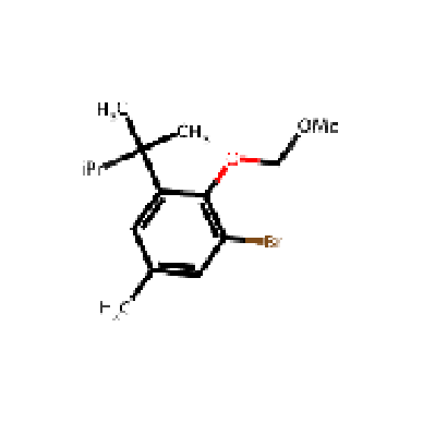 COCOc1c(Br)cc(C)cc1C(C)(C)C(C)C